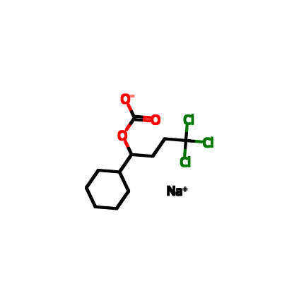 O=C([O-])OC(CCC(Cl)(Cl)Cl)C1CCCCC1.[Na+]